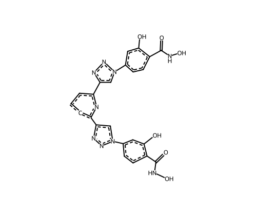 O=C(NO)c1ccc(-n2cc(-c3cccc(-c4cn(-c5ccc(C(=O)NO)c(O)c5)nn4)n3)nn2)cc1O